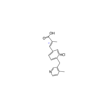 C/C(=C\c1ccc(Cc2cnccc2C)cc1)C(=O)O.Cl